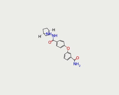 NC(=O)c1cccc(Oc2ccc(C(=O)N[C@@H]3C[C@H]4CC[C@@H]3N4)cc2)c1